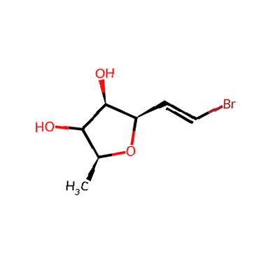 C[C@@H]1O[C@H](C=CBr)[C@H](O)C1O